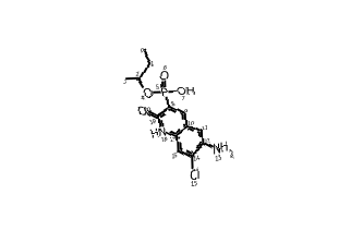 CCC(C)OP(=O)(O)c1cc2cc(N)c(Cl)cc2[nH]c1=O